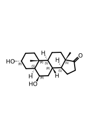 C[C@]12CC[C@@H](O)C[C@@H]1[C@H](O)C[C@@H]1[C@@H]2CC[C@]2(C)C(=O)CC[C@@H]12